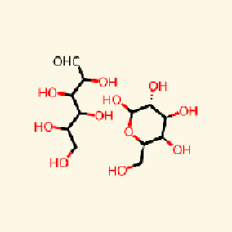 O=CC(O)C(O)C(O)C(O)CO.OC[C@H]1OC(O)[C@H](O)[C@@H](O)[C@H]1O